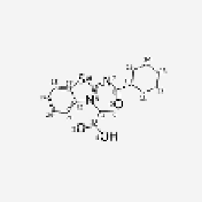 CC(C(=O)O)n1/c(=N\C(=O)C2CCCCC2)sc2ccccc21